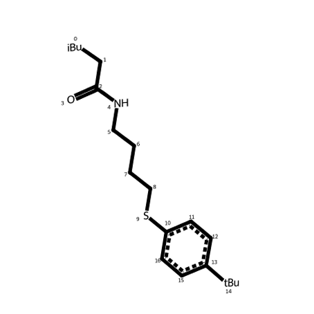 CCC(C)CC(=O)NCCCCSc1ccc(C(C)(C)C)cc1